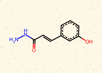 NNC(=O)/C=C/c1cccc(O)c1